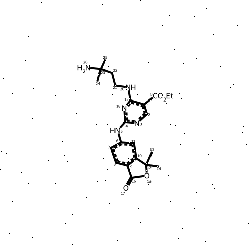 CCOC(=O)c1cnc(Nc2ccc3c(c2)C(C)(C)OC3=O)nc1NCCC(C)(C)N